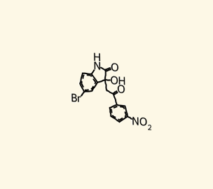 O=C(CC1(O)C(=O)Nc2ccc(Br)cc21)c1cccc([N+](=O)[O-])c1